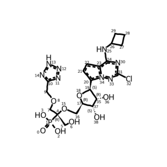 O=P(O)(O)[C@](CO)(COCc1nn[nH]n1)OC[C@H]1O[C@@H](c2ccc3c(NC4CCC4)nc(Cl)nn23)[C@H](O)[C@@H]1O